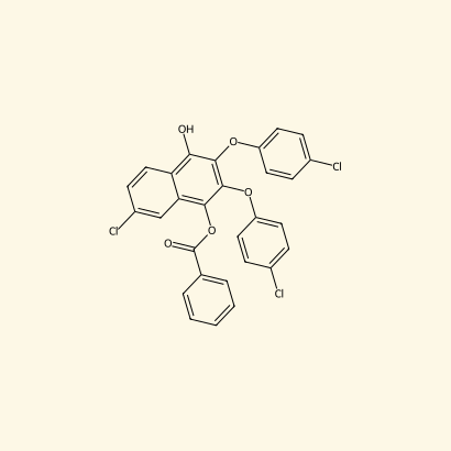 O=C(Oc1c(Oc2ccc(Cl)cc2)c(Oc2ccc(Cl)cc2)c(O)c2ccc(Cl)cc12)c1ccccc1